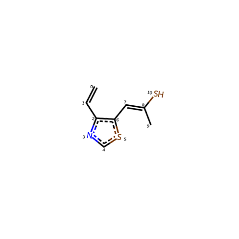 C=Cc1ncsc1/C=C(\C)S